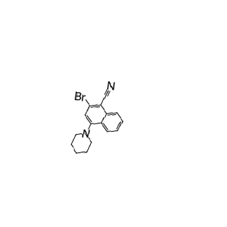 N#Cc1c(Br)cc(N2CCCCC2)c2ccccc12